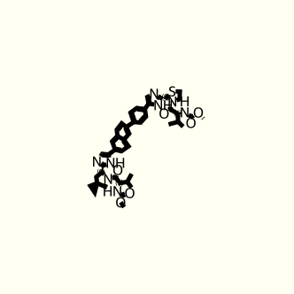 COC(=O)N[C@H](C(=O)N1CC2(CC2)C[C@H]1c1ncc(-c2ccc3cc(-c4ccc(-c5cnc([C@@H]6SCCN6C(=O)[C@@H](NC(=O)OC)C(C)C)[nH]5)cc4)ccc3c2)[nH]1)C(C)C